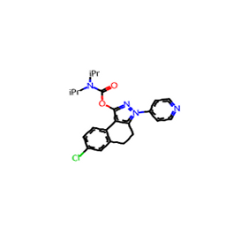 CC(C)N(C(=O)Oc1nn(-c2ccncc2)c2c1-c1ccc(Cl)cc1CC2)C(C)C